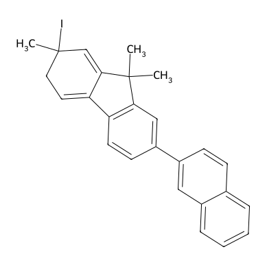 CC1(I)C=C2C(=CC1)c1ccc(-c3ccc4ccccc4c3)cc1C2(C)C